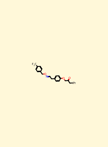 CC(C)CC(=O)COc1ccc(CC=NOCc2ccc(C(F)(F)F)cc2)cc1